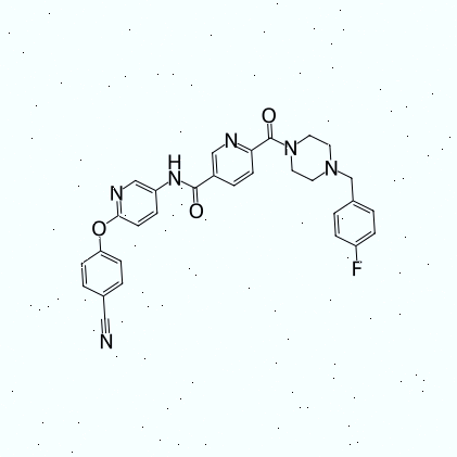 N#Cc1ccc(Oc2ccc(NC(=O)c3ccc(C(=O)N4CCN(Cc5ccc(F)cc5)CC4)nc3)cn2)cc1